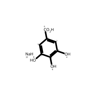 O=C(O)c1cc(O)c(O)c(O)c1.[NaH]